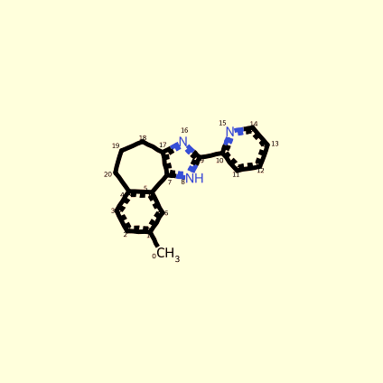 Cc1ccc2c(c1)-c1[nH]c(-c3ccccn3)nc1CCC2